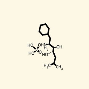 CC(C)C[C@H](O)[C@H](O)[C@@H](N)CC1CCCCC1.O=P(O)(O)O